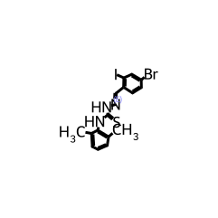 Cc1cccc(C)c1NC(=S)N/N=C/c1ccc(Br)cc1I